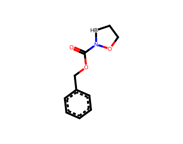 O=C(OCc1ccccc1)N1BCCO1